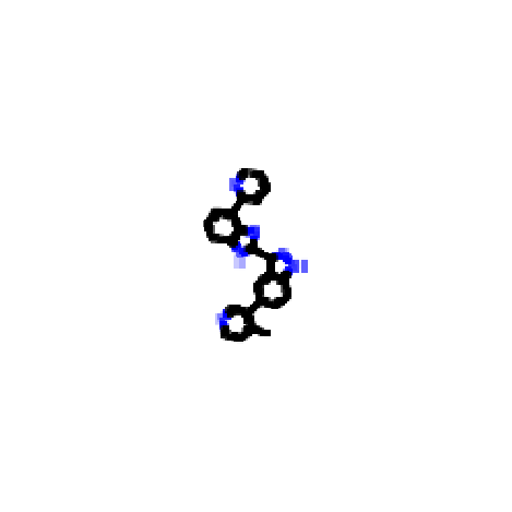 Cc1ccncc1-c1ccc2[nH]nc(-c3nc4c(-c5ccccn5)cccc4[nH]3)c2c1